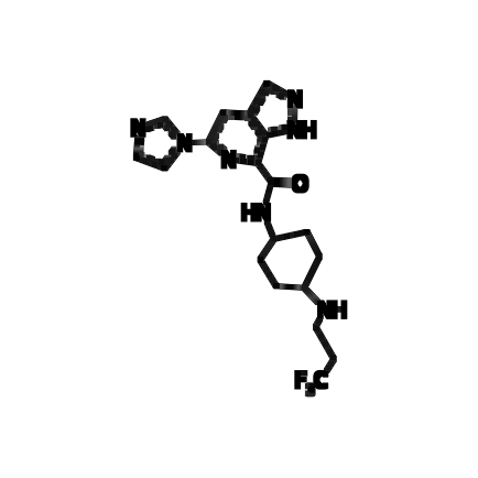 O=C(NC1CCC(NCCC(F)(F)F)CC1)c1nc(-n2ccnc2)cc2cn[nH]c12